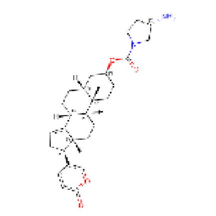 C[C@]12CC[C@H](OC(=O)N3CC[C@H](N)C3)C[C@H]1CC[C@H]1C3=CC[C@H](c4ccc(=O)oc4)[C@@]3(C)CC[C@@H]12